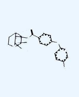 CC(=O)Nc1ccc(Oc2ccc(C(=O)N[C@@H]3C4CCN(CC4)[C@H]3C)cc2)nc1